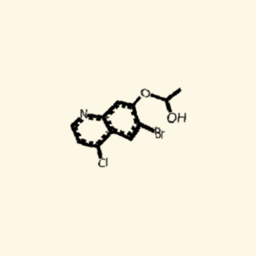 CC(O)Oc1cc2nccc(Cl)c2cc1Br